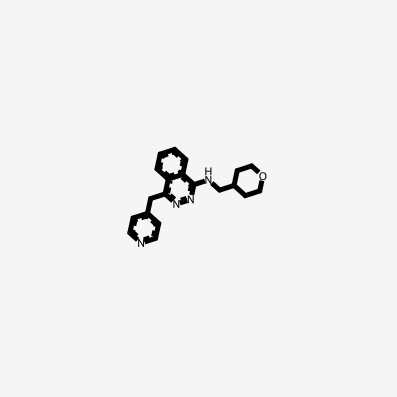 c1ccc2c(NCC3CCOCC3)nnc(Cc3ccncc3)c2c1